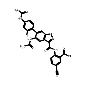 CC(=O)Nc1ccc(-c2cc3onc(C(=O)Nc4ccc(C#N)cc4C(=O)O)c3cc2NC(C)=O)c(C)c1